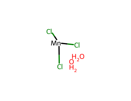 O.O.[Cl][Mn]([Cl])[Cl]